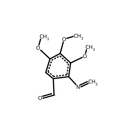 C=Nc1c([C]=O)cc(OC)c(OC)c1OC